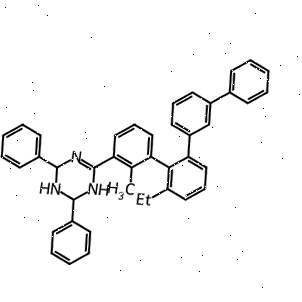 CCc1cccc(-c2cccc(-c3ccccc3)c2)c1-c1cccc(C2=NC(c3ccccc3)NC(c3ccccc3)N2)c1C